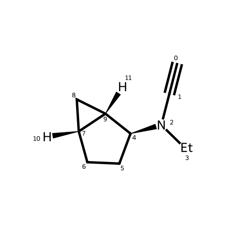 C#CN(CC)[C@H]1CC[C@@H]2C[C@@H]21